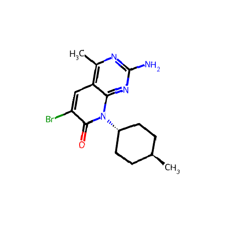 Cc1nc(N)nc2c1cc(Br)c(=O)n2[C@H]1CC[C@H](C)CC1